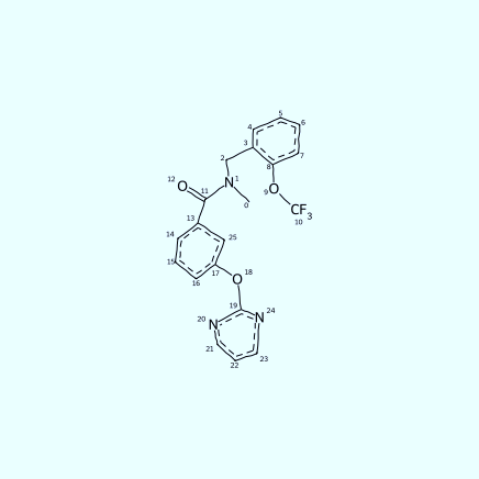 CN(Cc1ccccc1OC(F)(F)F)C(=O)c1cccc(Oc2ncccn2)c1